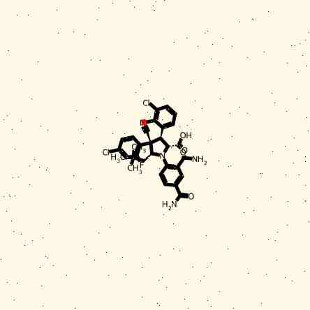 CC(C)(C)C[C@@H]1N(c2ccc(C(N)=O)cc2C(N)=O)[C@@H](C(=O)O)[C@H](c2cccc(Cl)c2F)[C@@]1(C#N)c1ccc(Cl)cc1F